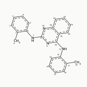 Cc1ccccc1Nc1nc(Nc2ccccc2C)c2ccccc2n1